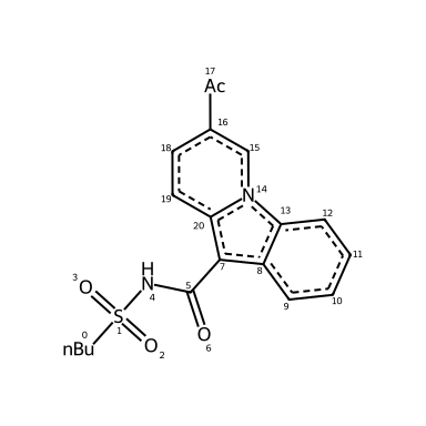 CCCCS(=O)(=O)NC(=O)c1c2ccccc2n2cc(C(C)=O)ccc12